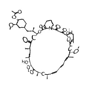 CO[C@H]1C[C@@H]2CC[C@@H](C)[C@@](O)(O2)C(=O)C(=O)N2CCCC[C@H]2C(=O)O[C@H]([C@H](C)C[C@@H]2CC[C@@H](OC(C)=O)[C@H](OC)C2)CC(=O)[C@H](C)/C=C(\C)[C@@H](O)[C@@H](OC)C(=O)[C@H](C)C[C@H](C)/C=C/C=C/C=C/1C